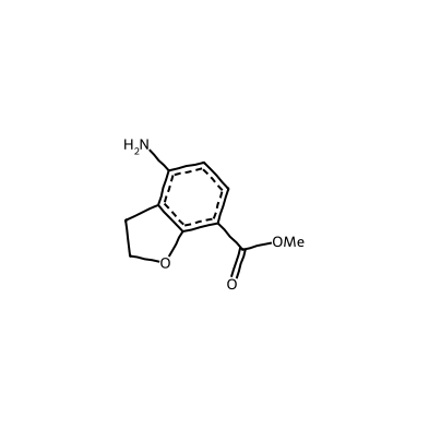 COC(=O)c1ccc(N)c2c1OCC2